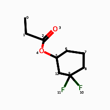 CCC(=O)OC1CCCC(F)(F)C1